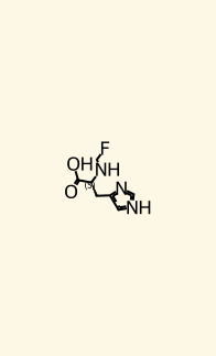 O=C(O)[C@H](Cc1c[nH]cn1)NCF